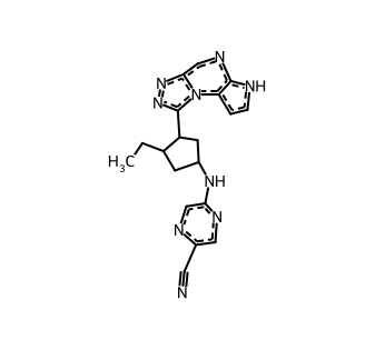 CCC1CC(Nc2cnc(C#N)cn2)CC1c1nnc2cnc3[nH]ccc3n12